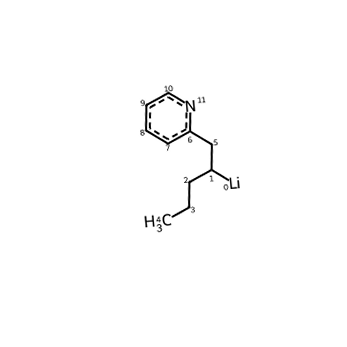 [Li][CH](CCC)Cc1ccccn1